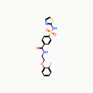 O=C(NCCOc1ccccc1F)c1ccc(S(=O)(=O)Nc2nccs2)cc1